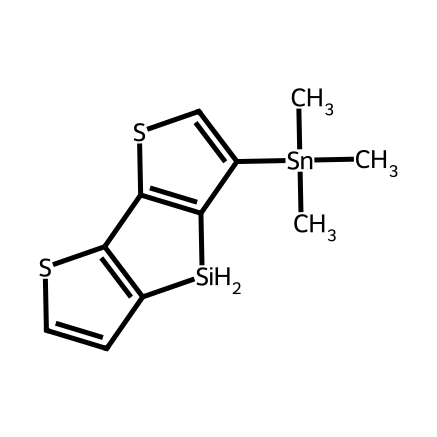 [CH3][Sn]([CH3])([CH3])[c]1csc2c1[SiH2]c1ccsc1-2